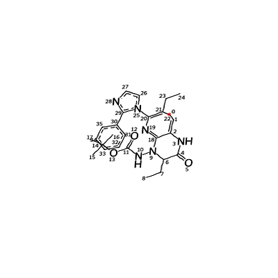 C/C=C1/NC(=O)C(CC)N(NC(=O)OC(C)(C)C)/C1=N/C(=C(\C)CC)n1ccnc1-c1ccccc1